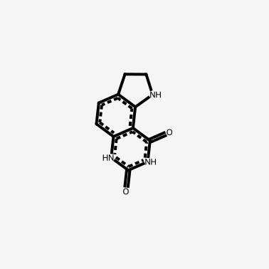 O=c1[nH]c(=O)c2c3c(ccc2[nH]1)CCN3